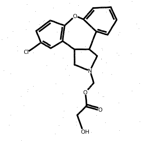 O=C(CO)OCN1CC2c3ccccc3Oc3ccc(Cl)cc3C2C1